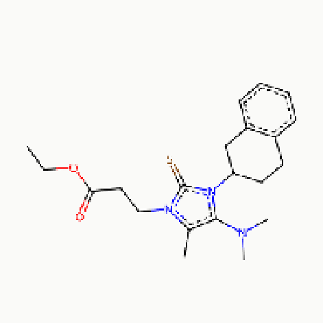 CCOC(=O)CCn1c(C)c(N(C)C)n(C2CCc3ccccc3C2)c1=S